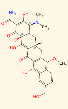 COc1c2c(c(O)c3cc(CO)ccc13)C(=O)C1=C(O)[C@]3(O)C(=O)C(C(N)=O)=C(O)[C@@H](N(C)C)C3C[C@@H]1C2